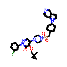 CC1(COc2c(N3CCN(S(=O)(=O)Cc4ccc(-n5ccc6cnccc65)cc4)CC3)cnn(-c3cccc(Cl)c3)c2=O)CC1